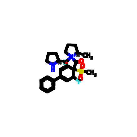 C[C@@H]1CCC[N+]1(C[C@@H]1CCCN1)C(=O)C1(S(C)(=O)=O)C(F)=CC(c2ccccc2)=CC1F